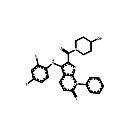 O=C(c1sc2c(ccc(=O)n2-c2ccccc2)c1Nc1ccc(F)cc1F)N1CCC(O)CC1